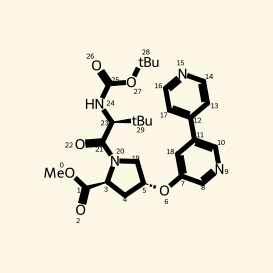 COC(=O)[C@@H]1C[C@@H](Oc2cncc(-c3ccncc3)c2)CN1C(=O)[C@@H](NC(=O)OC(C)(C)C)C(C)(C)C